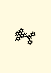 Fc1ccc(-c2nc3cc(-c4nc(-c5ccccc5)nc(-c5ccccc5)n4)ccc3c3c4ccccc4c4ccccc4c23)cc1